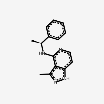 Cc1n[nH]c2ccnc(N[C@@H](C)c3ccccc3)c12